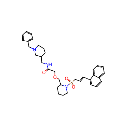 O=C(COCC1CCCCN1S(=O)(=O)CC=Cc1cccc2ccccc12)NCC1CCCN(Cc2ccccc2)C1